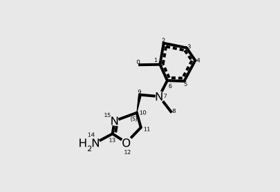 Cc1ccccc1N(C)C[C@H]1COC(N)=N1